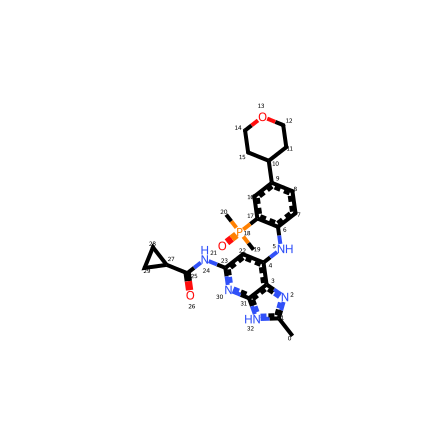 Cc1nc2c(Nc3ccc(C4CCOCC4)cc3P(C)(C)=O)cc(NC(=O)C3CC3)nc2[nH]1